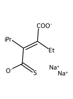 CCC(C(=O)[O-])=C(C([O-])=S)C(C)C.[Na+].[Na+]